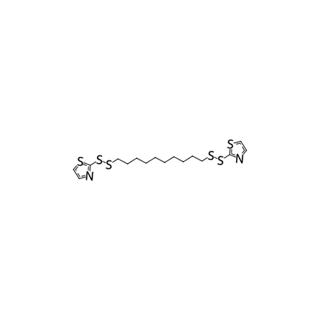 c1csc(SSCCCCCCCCCCSSc2nccs2)n1